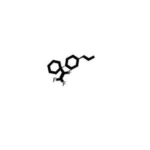 CCC[C@H]1CC[C@H](C2(C(F)=C(F)F)CCCCC2)CC1